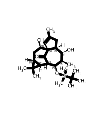 CC1=C[C@]23C(=O)[C@@H]([C@H](O[Si](C)(C)C(C)(C)C)[C@H](C)[C@@H](O)[C@@H]2C1)[C@@H]1[C@@H](C[C@H]3C)C1(C)C